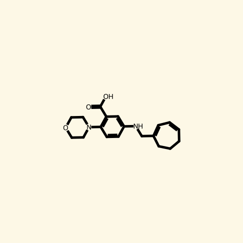 O=C(O)c1cc(NCC2=CC=CCCC2)ccc1N1CCOCC1